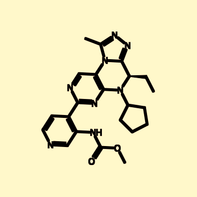 CC[C@@H]1c2nnc(C)n2-c2cnc(-c3ccncc3NC(=O)OC)nc2N1C1CCCC1